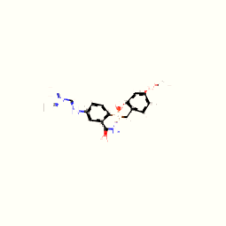 CCN(C)/C=N/c1ccc2c(c1)C(=O)N=S2(=O)Cc1ccc(OC(F)(F)F)cc1